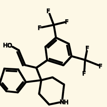 OC=CC(c1cc(C(F)(F)F)cc(C(F)(F)F)c1)C1(c2ccccc2)CCNCC1